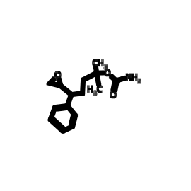 CC(C)(CCC(c1ccccc1)C1CO1)OC(N)=O